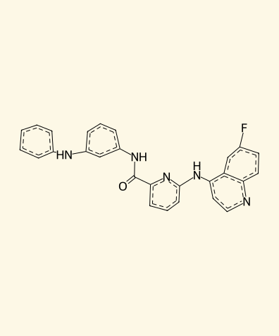 O=C(Nc1cccc(Nc2ccccc2)c1)c1cccc(Nc2ccnc3ccc(F)cc23)n1